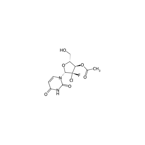 CC(=O)O[C@@H]1[C@@H](CO)O[C@@H](n2ccc(=O)[nH]c2=O)[C@@]1(F)Cl